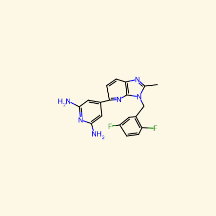 Cc1nc2ccc(-c3cc(N)nc(N)c3)nc2n1Cc1cc(F)ccc1F